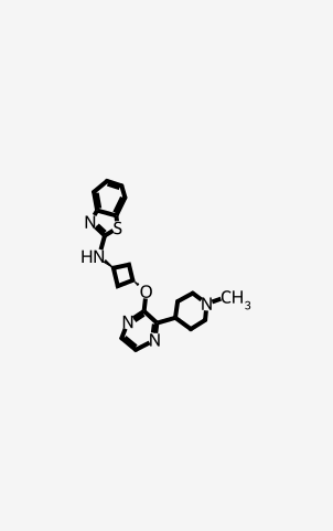 CN1CCC(c2nccnc2O[C@H]2C[C@H](Nc3nc4ccccc4s3)C2)CC1